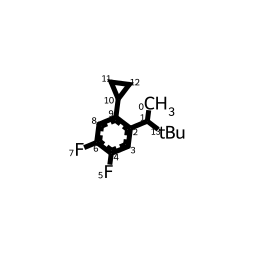 CC(c1cc(F)c(F)cc1C1CC1)C(C)(C)C